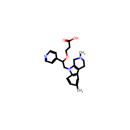 Cc1ccc2c(c1)c1c(n2CC(OCCC(=O)O)c2ccncc2)CN(C)CC1